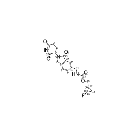 O=C1CCC(N2Cc3ccc(CNC(=O)OC[C@@H]4C[C@H]4F)cc3C2=O)C(=O)N1